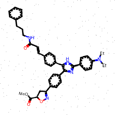 CCN(CC)c1ccc(-c2nc(-c3ccc(C4=NOC(C(=O)OC)C4)cc3)c(-c3ccc(/C=C/C(=O)NCCCc4ccccc4)cc3)[nH]2)cc1